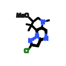 COC1CN(C)c2cnc3cc(Cl)nn3c2C1(C)C